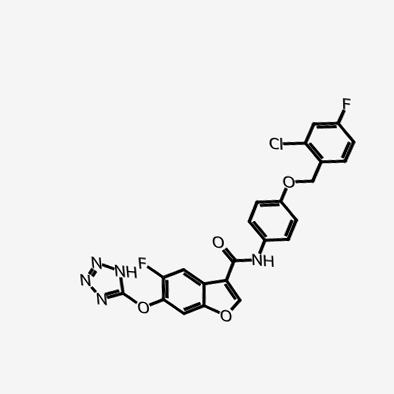 O=C(Nc1ccc(OCc2ccc(F)cc2Cl)cc1)c1coc2cc(Oc3nnn[nH]3)c(F)cc12